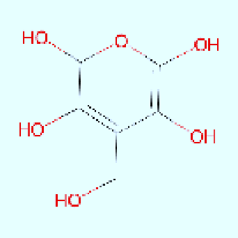 OCC1=C(O)C(O)OC(O)=C1O